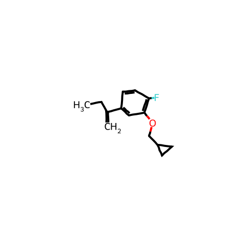 C=C(CC)c1ccc(F)c(OCC2CC2)c1